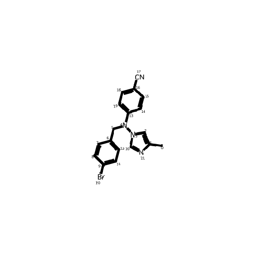 Cc1cn(N(Cc2ccc(Br)cc2)c2ccc(C#N)cc2)cn1